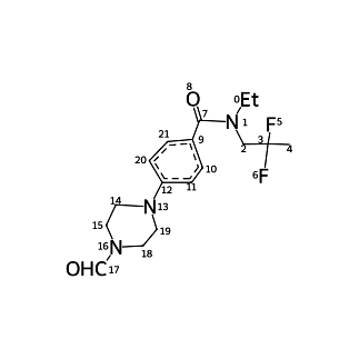 CCN(CC(C)(F)F)C(=O)c1ccc(N2CCN(C=O)CC2)cc1